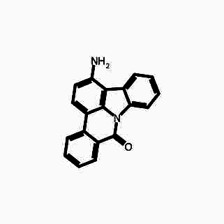 Nc1ccc2c3ccccc3c(=O)n3c4ccccc4c1c23